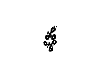 C1=CC(c2nc(-c3ccccc3)nc(-c3ccccc3)n2)=CC(c2cccc(-n3c(-c4ccncc4)nc4ccccc43)c2)C1